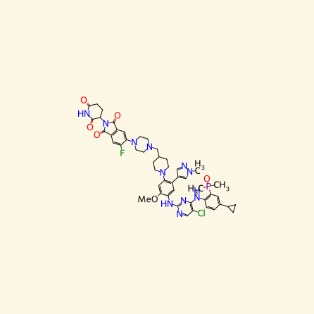 COc1cc(N2CCC(CN3CCN(c4cc5c(cc4F)C(=O)N(C4CCC(=O)NC4=O)C5=O)CC3)CC2)c(-c2cnn(C)c2)cc1Nc1ncc(Cl)c(Nc2ccc(C3CC3)cc2P(C)(C)=O)n1